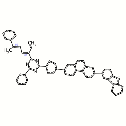 C=C/C(=C\C=C(/C)c1ccccc1)c1nc(-c2ccccc2)nc(-c2ccc(-c3ccc4c(ccc5cc(-c6ccc7sc8ccccc8c7c6)ccc54)c3)cc2)n1